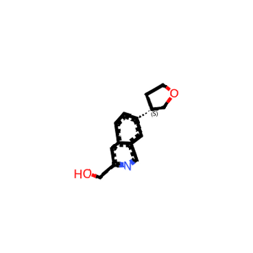 OCc1cc2ccc([C@@H]3CCOC3)cc2cn1